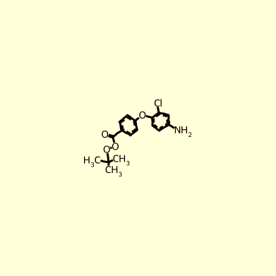 CC(C)(C)OOC(=O)c1ccc(Oc2ccc(N)cc2Cl)cc1